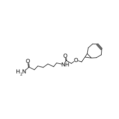 NC(=O)CCCCCCNC(=O)COCC1C2CCC#CCCC21